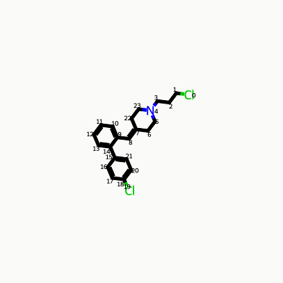 ClCCCN1CCC(=Cc2ccccc2-c2ccc(Cl)cc2)CC1